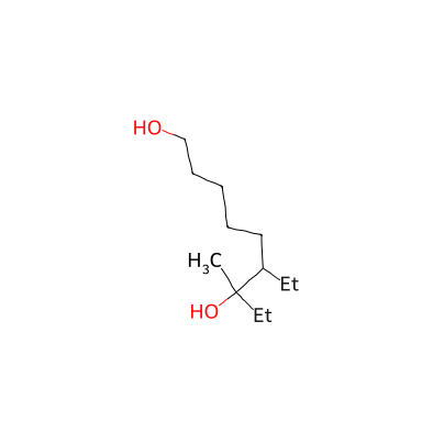 CCC(CCCCCO)C(C)(O)CC